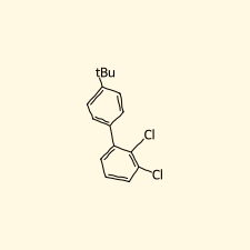 CC(C)(C)c1ccc(-c2cccc(Cl)c2Cl)cc1